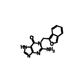 Nc1nc2nc[nH]c2c(=O)n1Cc1occ2ccccc12